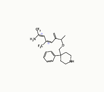 C=C(/C=C(\C=C(/N)C(F)(F)F)C(F)(F)F)C(C)OCC1(c2ccccc2)CCNCC1